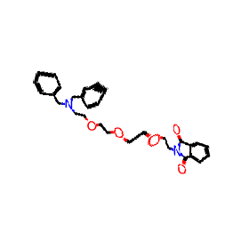 O=C1c2ccccc2C(=O)N1CCOCCOCCOCCN(Cc1ccccc1)Cc1ccccc1